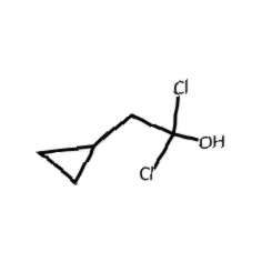 OC(Cl)(Cl)CC1CC1